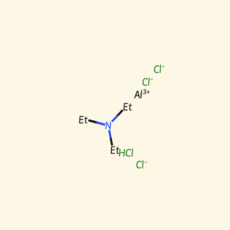 CCN(CC)CC.Cl.[Al+3].[Cl-].[Cl-].[Cl-]